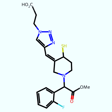 COC(=O)C(c1ccccc1F)N1CCC(S)/C(=C\c2cn(CCC(=O)O)nn2)C1